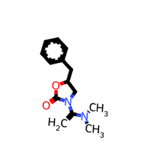 C=C(N(C)C)N1CC(Cc2ccccc2)OC1=O